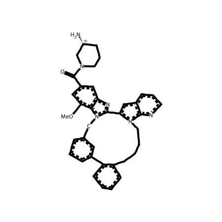 COc1cc(C(=O)N2CCC[C@@H](N)C2)cc2nc3n(c12)Cc1cccc(c1)-c1ccccc1CCCCn1c-3cc2cccnc21